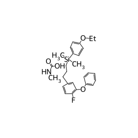 CCOc1ccc([Si](C)(C)CCCc2ccc(F)c(Oc3ccccc3)c2)cc1.CNC(=O)O